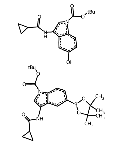 CC(C)(C)OC(=O)n1cc(NC(=O)C2CC2)c2cc(B3OC(C)(C)C(C)(C)O3)ccc21.CC(C)(C)OC(=O)n1cc(NC(=O)C2CC2)c2cc(O)ccc21